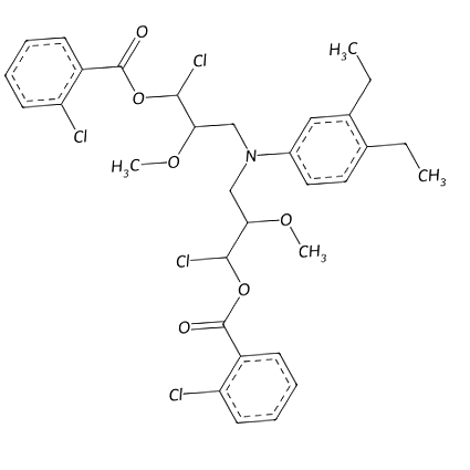 CCc1ccc(N(CC(OC)C(Cl)OC(=O)c2ccccc2Cl)CC(OC)C(Cl)OC(=O)c2ccccc2Cl)cc1CC